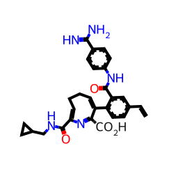 C=Cc1ccc(C2=C/CC/C=C(C(=O)NCC3CC3)/N=C\2C(=O)O)c(C(=O)Nc2ccc(C(=N)N)cc2)c1